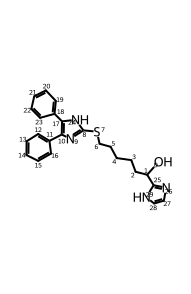 OC(CCCCCSc1nc(-c2ccccc2)c(-c2ccccc2)[nH]1)c1ncc[nH]1